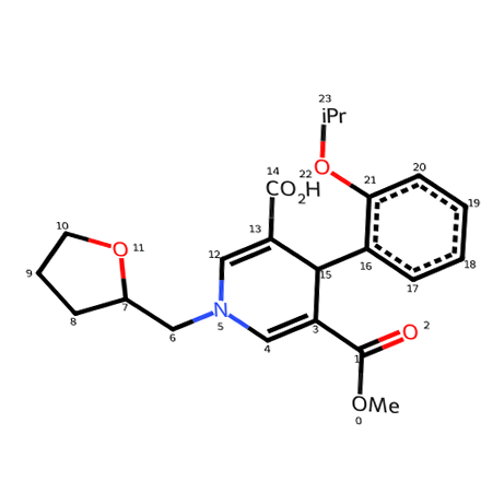 COC(=O)C1=CN(CC2CCCO2)C=C(C(=O)O)C1c1ccccc1OC(C)C